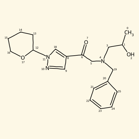 CC(O)CN(CC(=O)c1cnn(C2CCCCO2)c1)Cc1ccccc1